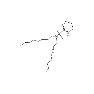 CCCCCCCCN(CCCCCCCC)C(C)(C)C1=NCCCN1